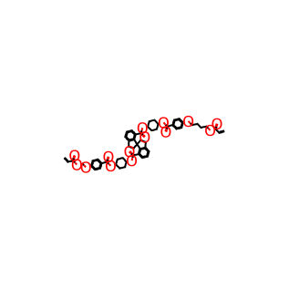 C=CC(=O)OCCCCOc1ccc(C(=O)OC2CCC(OC(=O)c3cccc4c3C3(CC4)CCc4cccc(C(=O)OC5CCC(OC(=O)c6ccc(OCOC(=O)C=C)cc6)CC5)c43)CC2)cc1